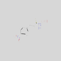 O=[N+]([O-])c1ccc(CCC(=S)NO)cc1